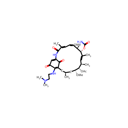 CO[C@@H]1/C=C\C=C(/C)C(=O)NC2=CC(=O)C(NCCN(C)C)=C(C[C@H](C)C[C@@H](OC)[C@@H](OC(C)=O)[C@H](C)/C=C(\C)[C@H]1OC(N)=O)C2=O